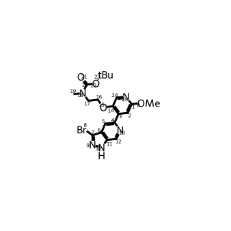 COc1cc(-c2cc3c(Br)n[nH]c3cn2)c(OCCN(C)C(=O)OC(C)(C)C)cn1